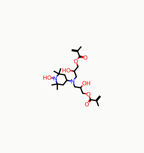 C=C(C)C(=O)OCC(O)CN(CC(O)COC(=O)C(=C)C)C1CC(C)(C)N(O)C(C)(C)C1